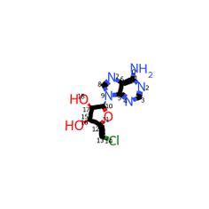 Nc1ncnc2c1ncn2[C@@H]1O/C(=C\Cl)[C@@H](O)[C@H]1O